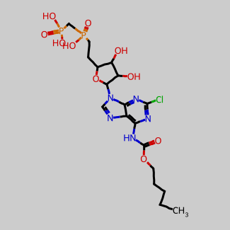 CCCCCOC(=O)Nc1nc(Cl)nc2c1ncn2C1OC(CCP(=O)(O)CP(=O)(O)O)C(O)C1O